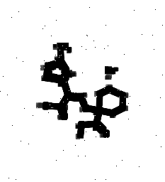 COC(=O)C1(ON=C(C(=O)[O-])c2csc(N)n2)CCCCC1.[Na+]